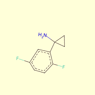 NC1(c2cc(F)ccc2F)CC1